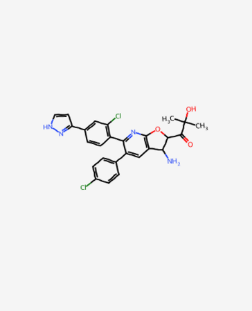 CC(C)(O)C(=O)C1Oc2nc(-c3ccc(-c4cc[nH]n4)cc3Cl)c(-c3ccc(Cl)cc3)cc2C1N